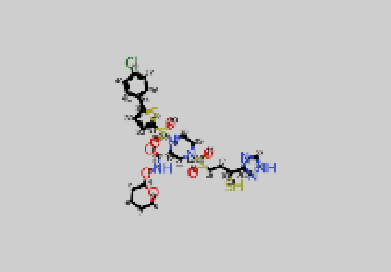 O=C(NOC1CCCCO1)[C@H]1CN(S(=O)(=O)CCC(S)c2nc[nH]n2)CCN1S(=O)(=O)c1ccc(-c2ccc(Cl)cc2)s1